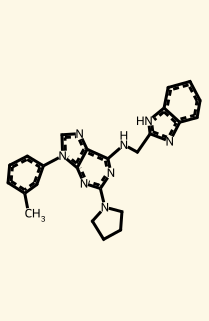 Cc1cccc(-n2cnc3c(NCc4nc5ccccc5[nH]4)nc(N4CCCC4)nc32)c1